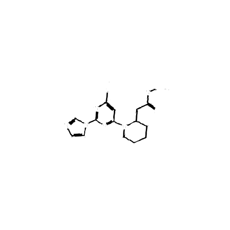 CCCCCCNC(=O)CC1CCCCN1c1cc(C)nc(-n2ccnc2)n1